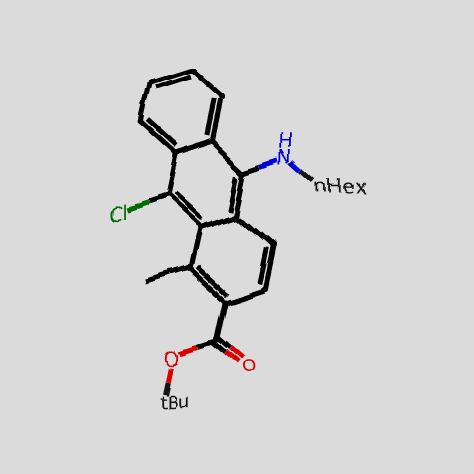 CCCCCCNc1c2ccccc2c(Cl)c2c(C)c(C(=O)OC(C)(C)C)ccc12